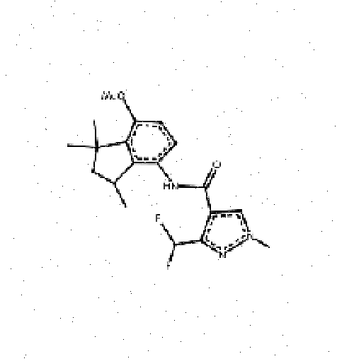 COc1ccc(NC(=O)c2cn(C)nc2C(F)F)c2c1C(C)(C)CC2C